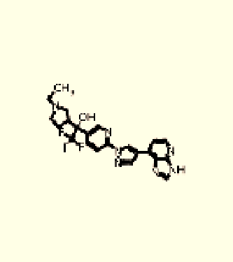 CCN1CCC([C@@](O)(c2ccc(-n3cc(-c4ccnc5[nH]cnc45)cn3)nc2)C(F)(F)F)C1